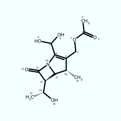 CC(=O)OCC1=C(C(O)O)N2C(=O)[C@H]([C@@H](C)O)C2[C@H]1C